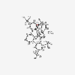 CC(C)(C)c1cc(-c2cccc(-c3cc(C(C)(C)C)cc(C(C)(C)C)c3)c2-[n+]2csc3c2CCCCC3)cc(C(C)(C)C)c1.[Cl-]